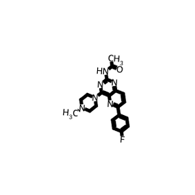 CC(=O)Nc1nc(N2CCN(C)CC2)c2nc(-c3ccc(F)cc3)ccc2n1